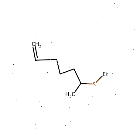 [CH2]C(CCCC=C)SCC